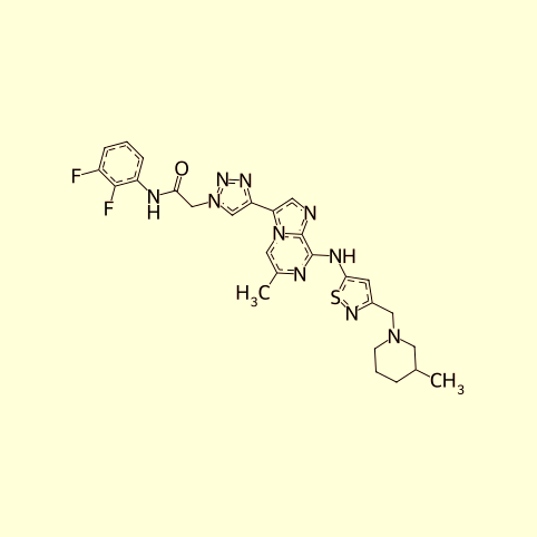 Cc1cn2c(-c3cn(CC(=O)Nc4cccc(F)c4F)nn3)cnc2c(Nc2cc(CN3CCCC(C)C3)ns2)n1